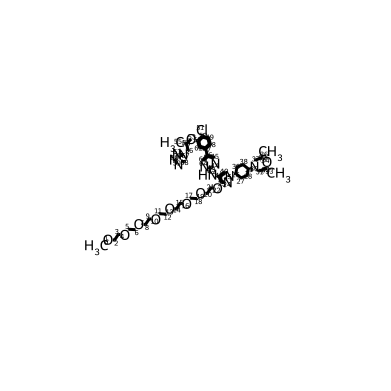 COCCOCCOCCOCCOCCOCCOCCOc1nn([C@H]2CC[C@H](N3C[C@@H](C)O[C@@H](C)C3)CC2)cc1Nc1ncc(-c2ccc(Cl)c(O[C@@H](C)Cn3cnnn3)c2)cn1